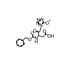 COc1nnnn1CC(=O)C(CC(=O)O)NC(=O)OCc1ccccc1